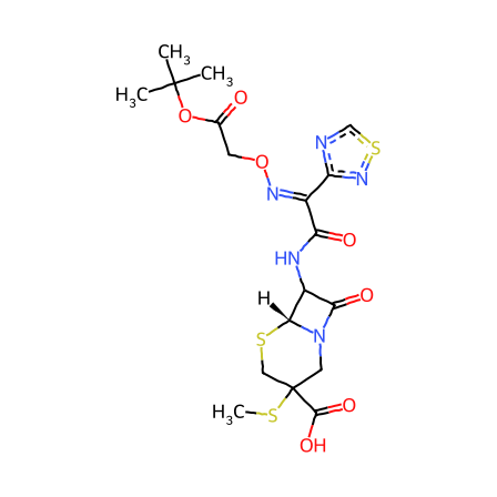 CSC1(C(=O)O)CS[C@@H]2C(NC(=O)C(=NOCC(=O)OC(C)(C)C)c3ncsn3)C(=O)N2C1